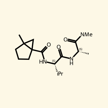 CNC(=O)[C@H](C)NC(=O)[C@@H](NC(=O)C12CCCC1(C)C2)C(C)C